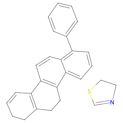 C1=CC2=C(CC1)CCc1c2ccc2c(-c3ccccc3)cccc12.C1=NCCS1